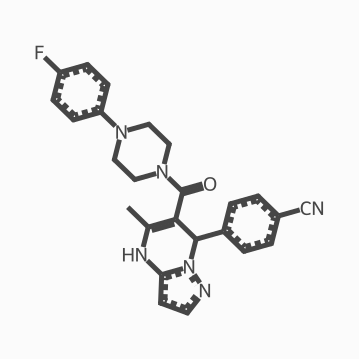 CC1=C(C(=O)N2CCN(c3ccc(F)cc3)CC2)C(c2ccc(C#N)cc2)n2nccc2N1